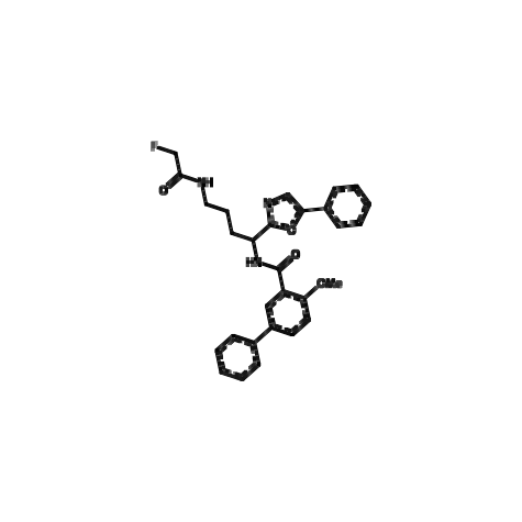 COc1ccc(-c2ccccc2)cc1C(=O)NC(CCCNC(=O)CF)c1ncc(-c2ccccc2)o1